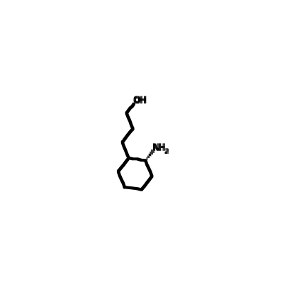 N[C@@H]1CCCCC1CCCO